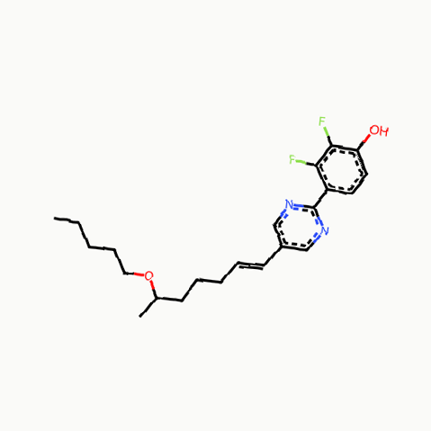 CCCCCOC(C)CCCC=Cc1cnc(-c2ccc(O)c(F)c2F)nc1